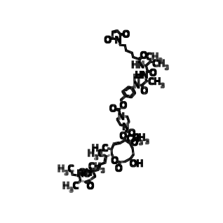 CCC(O)C(C)[C@H]1O[C@@H]1CC(C)(O)/C=C/C=C(\C)[C@H]1OC(=O)C[C@H](O)CC[C@@](C)(OC)[C@@H](OC(=O)N2CCN(C(=O)OCc3ccc(NC(=O)C(C)NC(=O)C(NC(=O)CCCCCN4C(=O)C=CC4=O)C(C)C)cc3)CC2)/C=C/[C@@H]1C